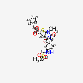 Cn1c(=O)n(Cc2ccc(NCS(C)(=O)=O)cc2)c(=O)c2cc(C(=O)OCc3ccccc3)sc21